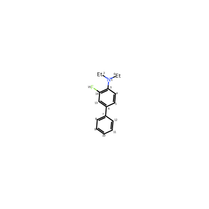 CCN(CC)c1ccc(-c2c[c]ccc2)cc1F